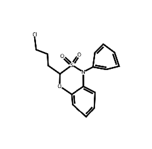 O=S1(=O)C(CCCCl)Oc2ccccc2N1c1ccccc1